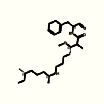 CC[C@H](C)CCC[C@H](C)NCCCC[C@H](OC)C(C)C(=O)N[C@H](C=O)CC1=CC=CCC1